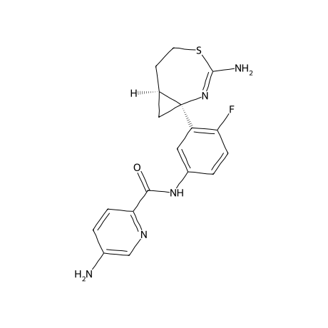 NC1=N[C@@]2(c3cc(NC(=O)c4ccc(N)cn4)ccc3F)C[C@H]2CCS1